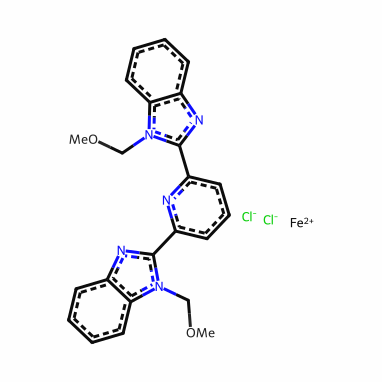 COCn1c(-c2cccc(-c3nc4ccccc4n3COC)n2)nc2ccccc21.[Cl-].[Cl-].[Fe+2]